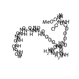 COc1ccc2c(c1)C(c1ccc(Cl)cc1)=N[C@@H](CC(=O)Nc1ccc(OCCOCCOCCNC(=O)[C@H](CCCNC(=N)N)NC(=O)[C@H](CCCNC(=N)N)NC(=O)CCOCCOCCOCCNC(=O)CCNC(=O)c3nc(NC(=O)CCNC(=O)c4cc(NC(=O)c5nc(NC(=O)CCNC(=O)c6cc(NC(=O)c7nccn7C)cn6C)cn5C)cn4C)cn3C)cc1)c1nnc(C)n1-2